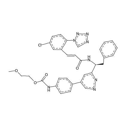 COCCOC(=O)Nc1ccc(-c2cnnc([C@H](Cc3ccccc3)NC(=O)/C=C/c3cc(Cl)ccc3-n3cnnn3)c2)cc1